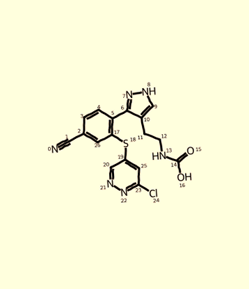 N#Cc1ccc(-c2n[nH]cc2CCNC(=O)O)c(Sc2cnnc(Cl)c2)c1